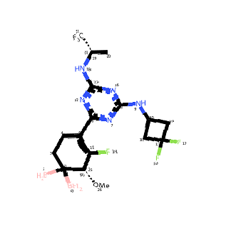 BC1(B)CCC(c2nc(NC3CC(F)(F)C3)nc(N[C@@H](C)C(F)(F)F)n2)=C(F)[C@@H]1OC